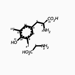 NCC(=O)O.N[C@@H](Cc1cc(I)c(O)c(I)c1)C(=O)O